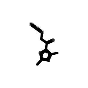 Cc1nc(C)c(C(=O)CN=[N+]=[N-])o1